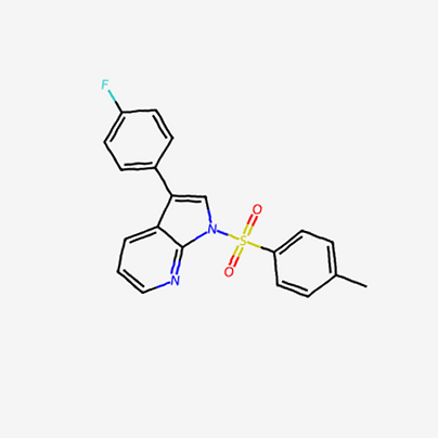 Cc1ccc(S(=O)(=O)n2cc(-c3ccc(F)cc3)c3cccnc32)cc1